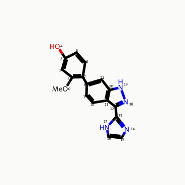 COc1cc(O)ccc1-c1ccc2c(-c3ncc[nH]3)n[nH]c2c1